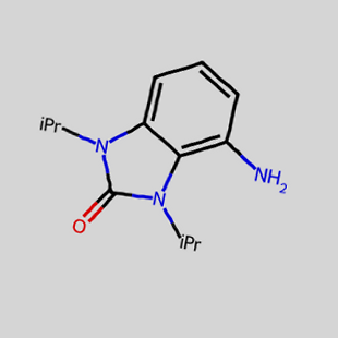 CC(C)n1c(=O)n(C(C)C)c2c(N)cccc21